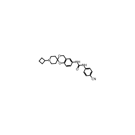 N#Cc1ccc(NC(=O)Nc2ccc3c(c2)COC2(CCN(C4CCC4)CC2)O3)cc1